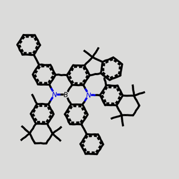 Cc1cc2c(cc1N1B3c4ccc(-c5ccccc5)cc4N(c4cc5c(cc4C)C(C)(C)CCC5(C)C)c4c3c(cc3c4-c4ccccc4C3(C)C)-c3cc(-c4ccccc4)ccc31)C(C)(C)CCC2(C)C